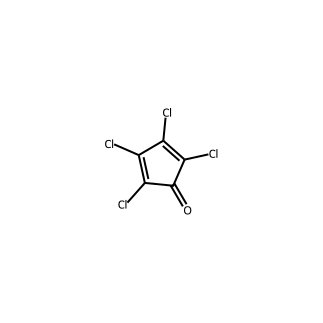 O=C1C(Cl)=C(Cl)C(Cl)=C1Cl